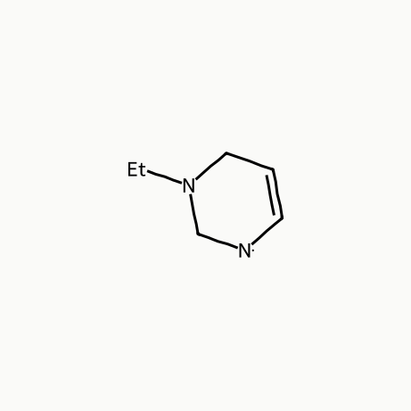 CCN1CC=C[N]C1